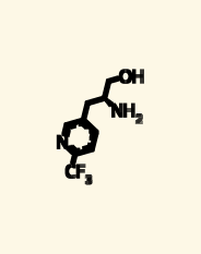 N[C@H](CO)Cc1ccc(C(F)(F)F)nc1